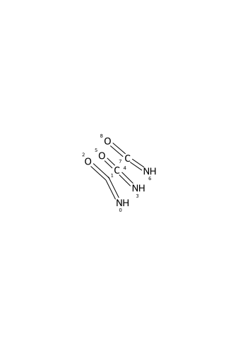 N=C=O.N=C=O.N=C=O